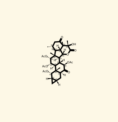 CC(=O)O[C@H]1[C@H]2[C@H]([C@@H]3[C@H]4OC(=O)[C@@](C)(O)[C@@]5(C)C(=O)C[C@@H](C)[C@@H]([C@@H]45)[C@@]3(C)[C@H]1OC(C)=O)[C@@H](OC(C)=O)C(=O)[C@H]1C[C@@H]3C[C@@H]3[C@H](OC(C)=O)[C@]21C